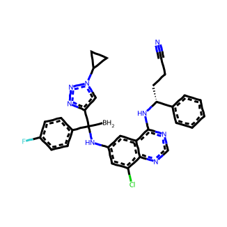 BC(Nc1cc(Cl)c2ncnc(N[C@H](CCC#N)c3ccccc3)c2c1)(c1ccc(F)cc1)c1cn(C2CC2)nn1